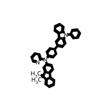 CC1(C)c2ccccc2-c2ccc(N(C3=CCC(c4ccc5c(c4)c4ccccc4n5-c4ccccc4)C=C3)c3ccccn3)cc21